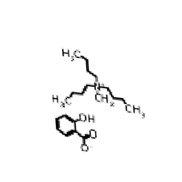 CCCC[N+](C)(CCCC)CCCC.O=C([O-])c1ccccc1O